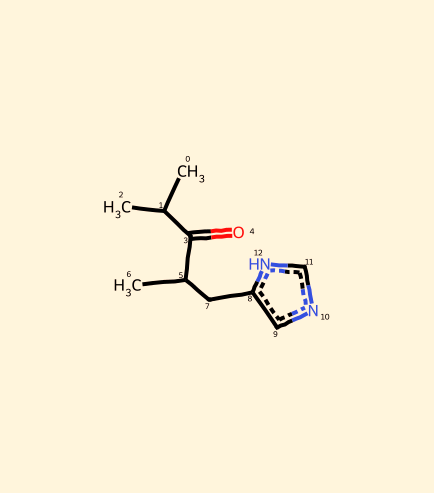 CC(C)C(=O)C(C)Cc1cnc[nH]1